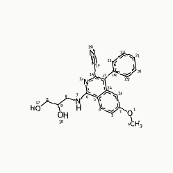 COc1ccc2c(NCC(O)CO)nc(C#N)c(-c3ccccc3)c2c1